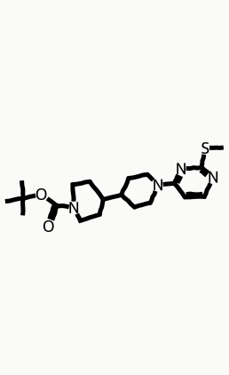 CSc1nccc(N2CCC(C3CCN(C(=O)OC(C)(C)C)CC3)CC2)n1